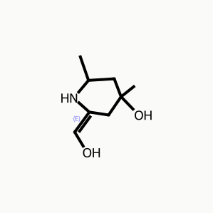 CC1CC(C)(O)C/C(=C\O)N1